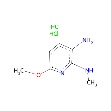 CNc1nc(OC)ccc1N.Cl.Cl